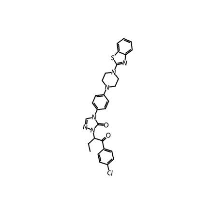 CCC(C(=O)c1ccc(Cl)cc1)n1ncn(-c2ccc(N3CCN(c4nc5ccccc5s4)CC3)cc2)c1=O